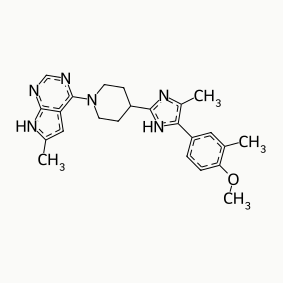 COc1ccc(-c2[nH]c(C3CCN(c4ncnc5[nH]c(C)cc45)CC3)nc2C)cc1C